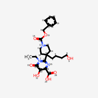 CCn1c(C2(CCCCO)CCN(C(=O)OCc3ccccc3)CC2)nc(C(=O)O)c(O)c1=O